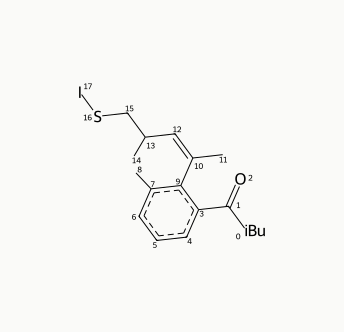 CCC(C)C(=O)c1cccc(C)c1/C(C)=C\C(C)CSI